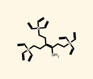 C=C[Si](C=C)(C=C)CCC([SiH3])=C(CC[Si](C=C)(C=C)C=C)CC[Si](C=C)(C=C)C=C